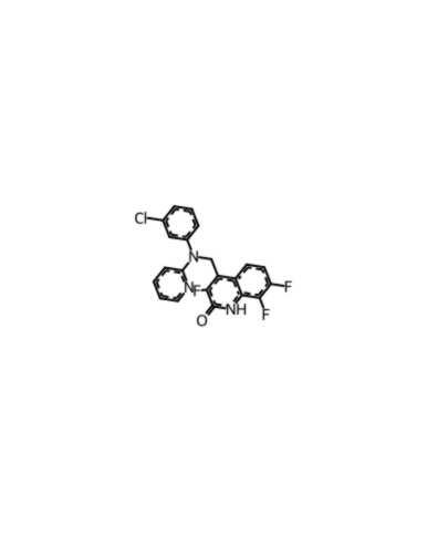 O=c1[nH]c2c(F)c(F)ccc2c(CN(c2cccc(Cl)c2)c2ccccn2)c1F